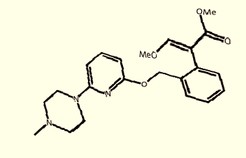 CO/C=C(/C(=O)OC)c1ccccc1COc1cccc(N2CCN(C)CC2)n1